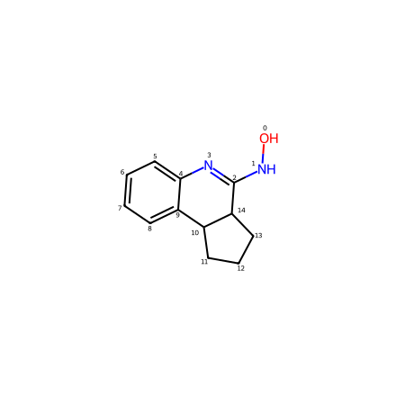 ONC1=Nc2ccccc2C2CCCC12